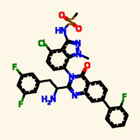 Cn1nc(NS(C)(=O)=O)c2c(Cl)ccc(-n3c(C(N)Cc4cc(F)cc(F)c4)nc4cc(-c5ccccc5F)ccc4c3=O)c21